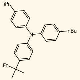 CCCCc1ccc(N(c2ccc(C(C)C)cc2)c2ccc(C(C)(C)CC)cc2)cc1